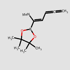 C=C=C/C=C(\NC)B1OC(C)(C)C(C)(C)O1